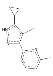 Cc1cccc(-c2n[nH]c(C3CC3)c2C)n1